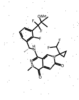 COC(C)(C)C(F)(F)c1cccc([C@@H](C)Nc2nn(C)c(=O)c3cc(=O)n(C4(C(F)F)CC4)cc23)c1F